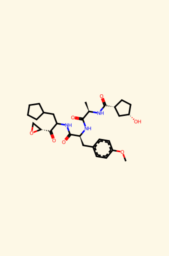 COc1ccc(C[C@H](NC(=O)[C@@H](C)NC(=O)[C@@H]2CC[C@H](O)C2)C(=O)NC(CC2CCCC2)C(=O)[C@H]2CO2)cc1